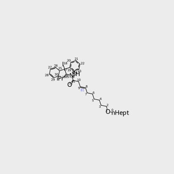 CCCCCCCOCCCCCC/C=C/CC(=O)N(S)[C@@H](C(C)C)C(I)(c1ccccc1)C1C=CC=CC1